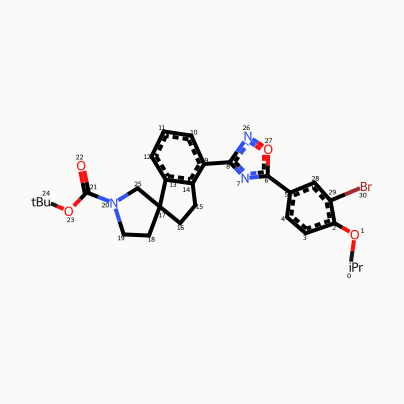 CC(C)Oc1ccc(-c2nc(-c3cccc4c3CCC43CCN(C(=O)OC(C)(C)C)C3)no2)cc1Br